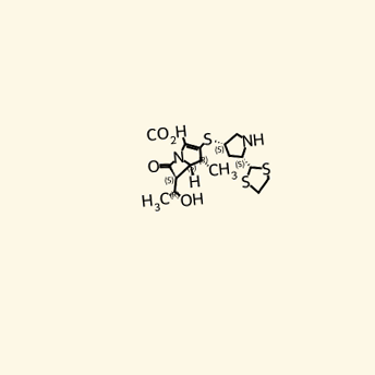 C[C@@H](O)[C@H]1C(=O)N2C(C(=O)O)=C(S[C@@H]3CN[C@H](C4SCCS4)C3)[C@H](C)[C@H]12